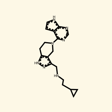 c1nc(N2CCc3[nH]nc(CNCCC4CC4)c3C2)c2cc[nH]c2n1